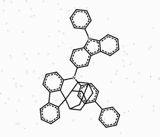 c1ccc(-c2ccc(N(c3ccc4c(c3)c3ccccc3n4-c3ccccc3)c3cccc4c3C3(c5ccccc5-4)C4CC5CC(C4)CC3C5)cc2)cc1